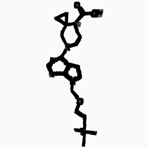 C[Si](C)(C)CCOCn1ccc2c(N3CC[C@H](C(=O)O)C4(CC4)C3)ncnc21